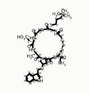 C[C@@H]1NC(=O)[C@H](CC(=O)O)NC(=O)CNC(=O)[C@H](CCCC[N+](C)(C)C)NC(=O)CCSSC[C@@H](C(N)=O)NC(=O)[C@@H]2CC(OCc3c[nH]c4ccccc34)CN2C1=O